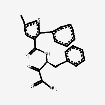 Cc1cc(C(=O)N[C@@H](Cc2ccccc2)C(=O)C(N)=O)c(-c2ccccc2)s1